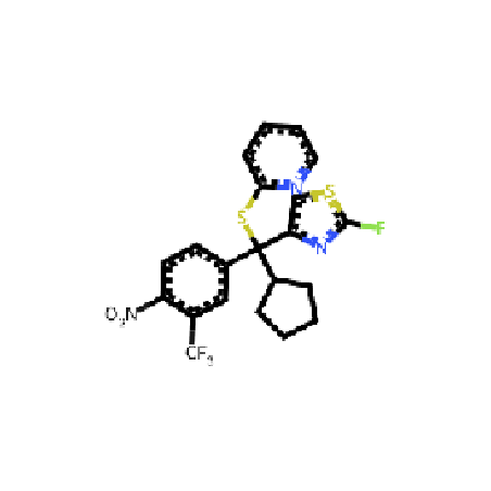 O=[N+]([O-])c1ccc(C(Sc2ccccn2)(c2csc(F)n2)C2CCCC2)cc1C(F)(F)F